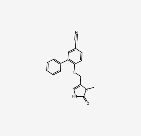 Cn1c(COc2ccc(C#N)cc2-c2ccccc2)n[nH]c1=O